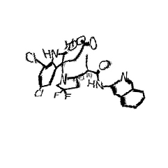 C[C@@H](C(=O)Nc1cc2ccccc2cn1)[C@H]1CC(F)(F)CN1[C@@]1(CC(=O)O)C(=O)Nc2c(Cl)cc(Cl)cc21